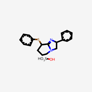 O=S(=O)(O)O.c1ccc(SC2CCCN3CC(c4ccccc4)N=C23)cc1